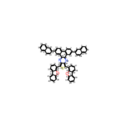 c1ccc2cc(-c3ccc4c5ccc(-c6ccc7ccccc7c6)cc5c5nc6c(-c7cccc8c7oc7ccccc78)sc(-c7cccc8c7oc7ccccc78)c6nc5c4c3)ccc2c1